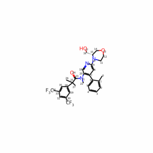 Cc1ccccc1-c1cc(N2CCOC[C@H]2CO)ncc1N(C)C(=O)C(C)(C)c1cc(C(F)(F)F)cc(C(F)(F)F)c1